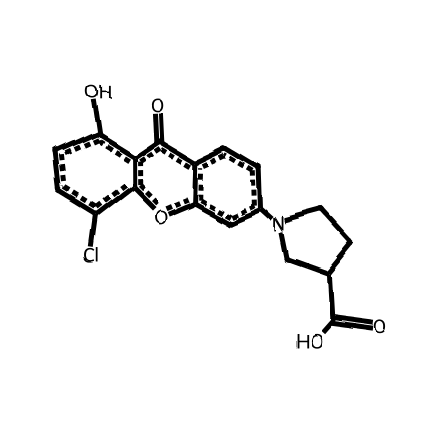 O=C(O)C1CCN(c2ccc3c(=O)c4c(O)ccc(Cl)c4oc3c2)C1